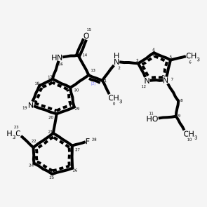 C/C(Nc1cc(C)n(CC(C)O)n1)=C1/C(=O)Nc2cnc(-c3c(C)cccc3F)cc21